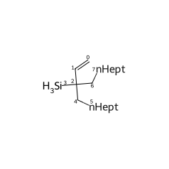 C=CC([SiH3])(CCCCCCCC)CCCCCCCC